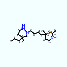 CCCC1(C)CCNN(CCCCC2(C)CCNC(C)S2)C1